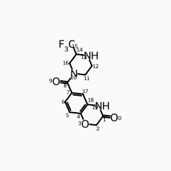 O=C1COc2ccc(C(=O)N3CCNC(C(F)(F)F)C3)cc2N1